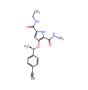 C#Cc1ccc([C@@H](C)Oc2cc(C(=O)NCC)[nH]c2C(=O)NC)cc1